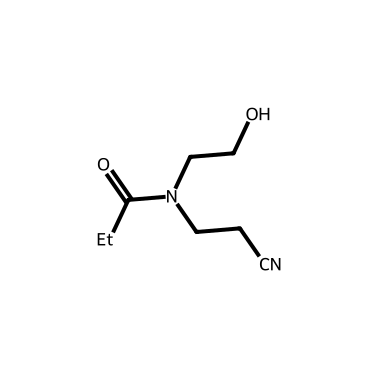 CCC(=O)N(CCO)CCC#N